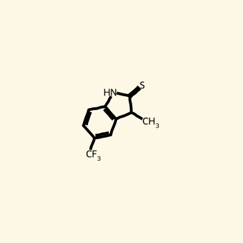 CC1C(=S)Nc2ccc(C(F)(F)F)cc21